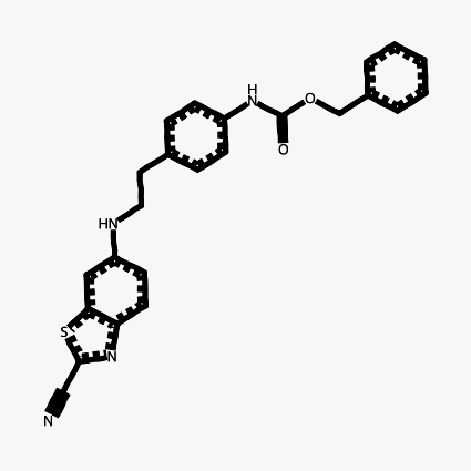 N#Cc1nc2ccc(NCCc3ccc(NC(=O)OCc4ccccc4)cc3)cc2s1